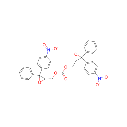 O=C(OCC1OC1(c1ccccc1)c1ccc([N+](=O)[O-])cc1)OCC1OC1(c1ccccc1)c1ccc([N+](=O)[O-])cc1